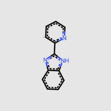 [c]1cccnc1-c1nc2ccccc2[nH]1